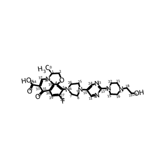 C[C@H]1COc2c(N3CCN(c4cnc(N5CCN(CCO)CC5)nc4)CC3)c(F)cc3c(=O)c(C(=O)O)cn1c23